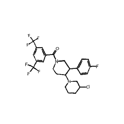 O=C(c1cc(C(F)(F)F)cc(C(F)(F)F)c1)N1CCC(N2CCCC(Cl)C2)C(c2ccc(F)cc2)C1